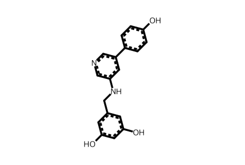 Oc1ccc(-c2cncc(NCc3cc(O)cc(O)c3)c2)cc1